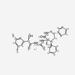 C[C@H](NC(=O)[C@H](O)c1cc(F)cc(F)c1)C(=O)N[C@]1(C)C(=O)NC[C@H](c2ccccc2)C[C@H]1c1ccccc1